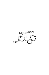 CCCN(CCC)CC(O)C1C=Cc2ccccc21.C[O][Zr][CH3]